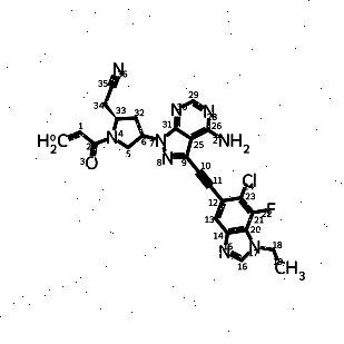 C=CC(=O)N1CC(n2nc(C#Cc3cc4ncn(CC)c4c(F)c3Cl)c3c(N)ncnc32)C[C@@H]1CC#N